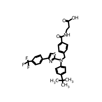 CC(C)(C)c1ccc(N(Cc2ccc(C(=O)NCCC(=O)O)cc2)c2nc(-c3ccc(C(F)(F)F)cc3)cs2)cc1